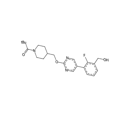 CC(C)(C)C(=O)N1CCC(COc2ncc(-c3cccc(CO)c3F)cn2)CC1